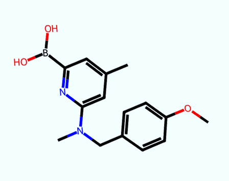 COc1ccc(CN(C)c2cc(C)cc(B(O)O)n2)cc1